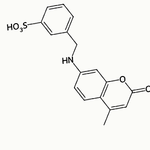 Cc1cc(=O)oc2cc(NCc3cccc(S(=O)(=O)O)c3)ccc12